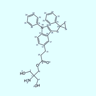 NC(CO)(CO)COC(=O)CCc1ccc2c(c1)c(CC1(c3ccccc3)CC1)cn2-c1ccccc1